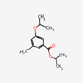 Cc1cc(OC(C)C)cc(C(=O)OC(C)C)c1